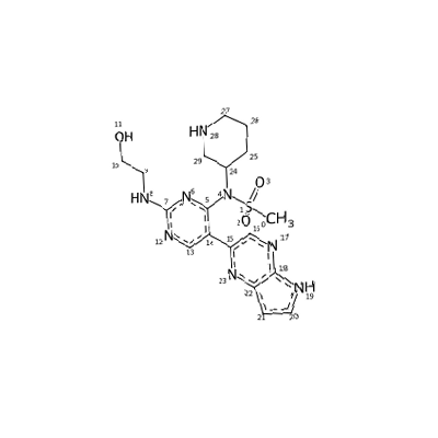 CS(=O)(=O)N(c1nc(NCCO)ncc1-c1cnc2[nH]ccc2n1)C1CCCNC1